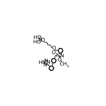 CCOc1nc2cccc(C(=O)OCCCCCON(O)O)c2n1Cc1ccc(-c2ccccc2-c2nn[nH]n2)cc1